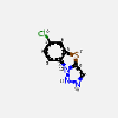 Clc1ccc2c(c1)sc1cnnn12